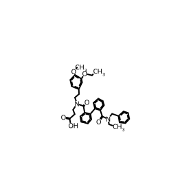 CCOc1cc(CCN(CCC(=O)O)C(=O)c2ccccc2-c2ccccc2C(=O)N(CC)Cc2ccccc2)ccc1OC